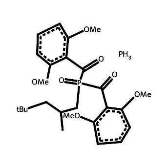 COc1cccc(OC)c1C(=O)P(=O)(CC(C)CC(C)(C)C)C(=O)c1c(OC)cccc1OC.P